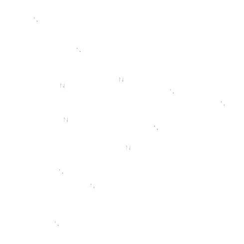 N#Cc1cnc(-c2c(-n3c4ccccc4c4ccccc43)c(-c3cnc(C#N)nc3)c(-n3c4ccccc4c4ccccc43)c(-c3cnc(C#N)cn3)c2-n2c3ccccc3c3ccccc32)cn1